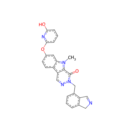 Cn1c2cc(Oc3cccc(O)n3)ccc2c2cnn(Cc3cccc4c3C=NC4)c(=O)c21